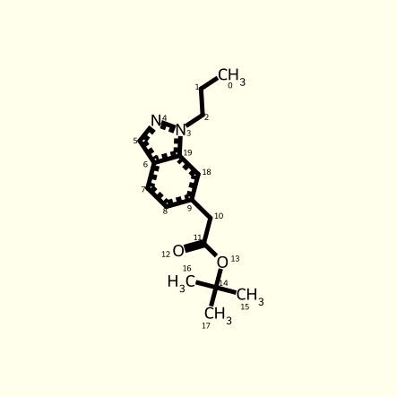 CCCn1ncc2ccc(CC(=O)OC(C)(C)C)cc21